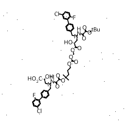 CC(C)(C)OC(=O)C(=O)NN(Cc1ccc(-c2cc(Cl)ccc2F)cc1)C[C@@H](O)C(=O)OCOC(=O)OCCCC(C)(C)OC(=O)C(=O)NN(Cc1ccc(-c2cc(Cl)ccc2F)cc1)C[C@@H](O)C(=O)O